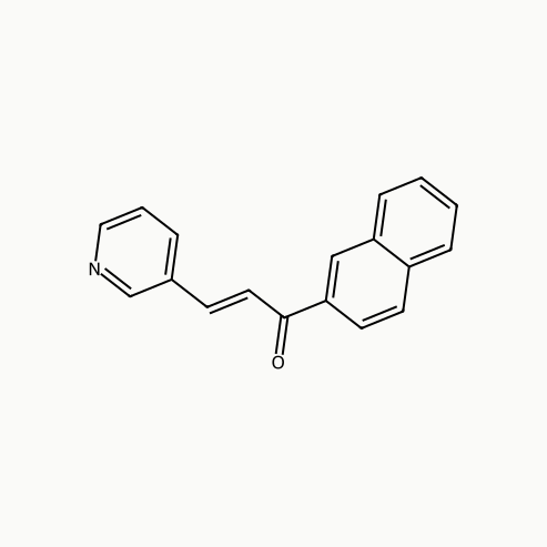 O=C(/C=C/c1cccnc1)c1ccc2ccccc2c1